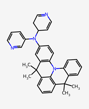 CC1(C)c2ccccc2N2c3ccc(N(c4cccnc4)C4C=CN=CC4)cc3C(C)(C)c3cccc1c32